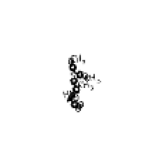 COc1ccc(C(Sc2ccc(-c3cc(NC(=O)C4(c5ccc6c(c5)OCO6)CC4)ccc3C)cc2)c2ccc(OC)cc2)cc1